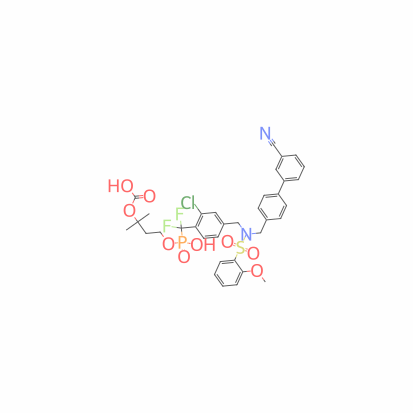 COc1ccccc1S(=O)(=O)N(Cc1ccc(-c2cccc(C#N)c2)cc1)Cc1ccc(C(F)(F)P(=O)(O)OCCC(C)(C)OC(=O)O)c(Cl)c1